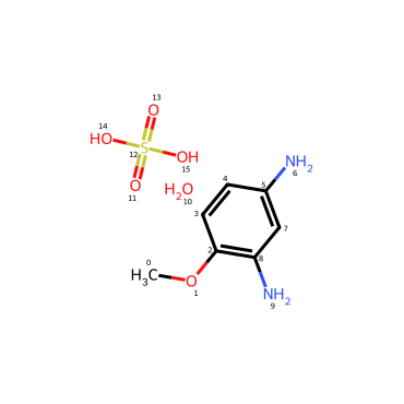 COc1ccc(N)cc1N.O.O=S(=O)(O)O